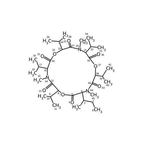 CCC(C)C1C(=O)OC(C(C)C)C(=O)N(C)C(C(C)C)C(=O)OC(C(C)C)C(=O)N(C)C(C(C)C)C(=O)OC(C(C)C)C(=O)N1C